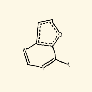 IC1=IC=Nc2ccoc21